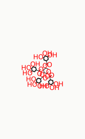 O=C(O[C@H]1OC[C@@H](OC(=O)c2cc(O)c(O)c(O)c2)[C@H](OC(=O)c2cc(O)c(O)c(O)c2)[C@H]1OC(=O)c1cc(O)c(O)c(O)c1)c1cc(O)c(O)c(O)c1